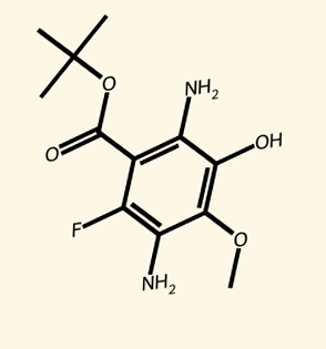 COc1c(N)c(F)c(C(=O)OC(C)(C)C)c(N)c1O